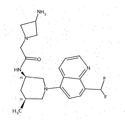 C[C@H]1C[C@@H](NC(=O)CN2CC(N)C2)CN(c2ccc(C(F)F)c3ncccc23)C1